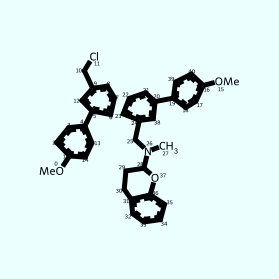 COc1ccc(-c2cccc(CCl)c2)cc1.COc1ccc(-c2cccc(CN(C)C3CCc4ccccc4O3)c2)cc1